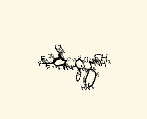 CNC(=O)[C@H]1CCNC[C@@H]1N1CCCC(Nc2cc(Cl)cc(C(F)(F)F)c2)C1=O